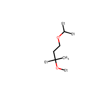 CCOC(C)(CC)CCOC(CC)CC